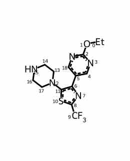 CCOc1ncc(-c2nc(C(F)(F)F)sc2N2CCNCC2)cn1